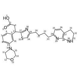 O=C(O)CC(c1cccc(N2CCOCC2)c1)c1nc(CCCCc2ccc3c(n2)NCCC3)cs1